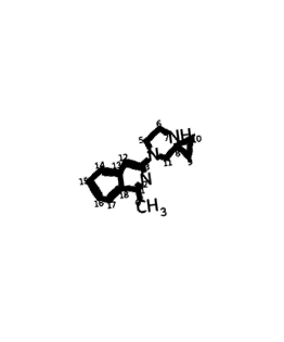 Cc1nc(N2CCNC3(CC3)C2)cc2ccccc12